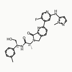 Cc1cccc([C@@H](CO)NC(=O)[C@@H](C)N2Cc3ccc(-c4cc(Nc5ccnn5C)ncc4F)nc3C2=O)c1